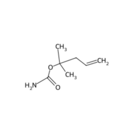 C=CCC(C)(C)OC(N)=O